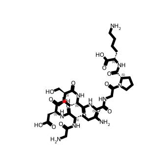 CC(C)C[C@H](NC(=O)[C@H](CO)NC(=O)[C@H](CC(=O)O)NC(=O)[C@H](CCC(N)=O)NC(=O)CN)C(=O)N[C@@H](C)C(=O)NCC(=O)N1CCC[C@H]1C(=O)N[C@@H](CCCCN)C(=O)O